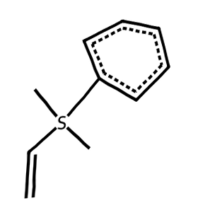 C=CS(C)(C)c1ccccc1